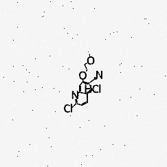 COCCOc1cc2nc(Cl)ccc2cc1C#N.Cl